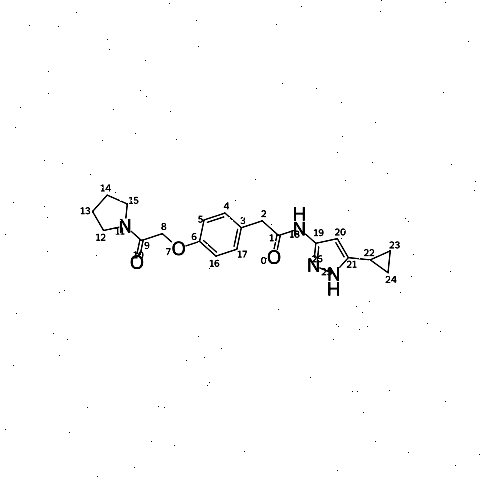 O=C(Cc1ccc(OCC(=O)N2CCCC2)cc1)Nc1cc(C2CC2)[nH]n1